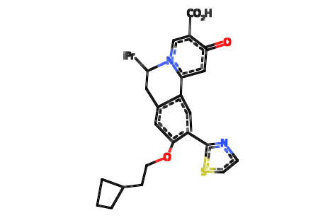 CC(C)C1Cc2cc(OCCC3CCC3)c(-c3nccs3)cc2-c2cc(=O)c(C(=O)O)cn21